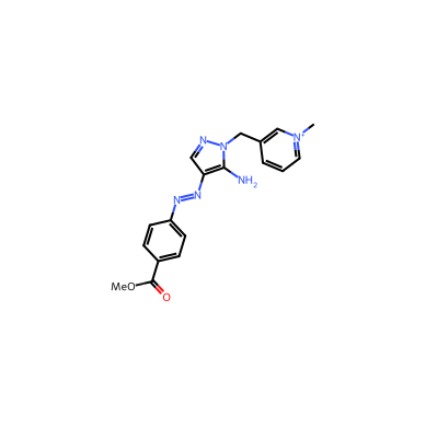 COC(=O)c1ccc(/N=N/c2cnn(Cc3ccc[n+](C)c3)c2N)cc1